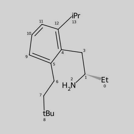 CC[C@H](N)Cc1c(CCC(C)(C)C)cccc1C(C)C